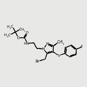 Cc1nn(CCNC(=O)OC(C)(C)C)c(CBr)c1Sc1ccc(F)cc1